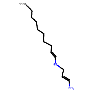 CCCCCCCCCCCCCCCCC=CNCC=CN